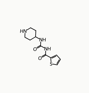 O=C(NC(=O)c1cccs1)NC1CCNCC1